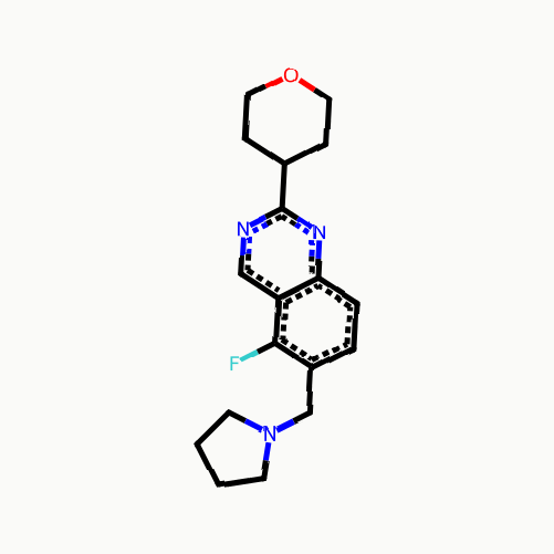 Fc1c(CN2CCCC2)ccc2nc(C3CCOCC3)ncc12